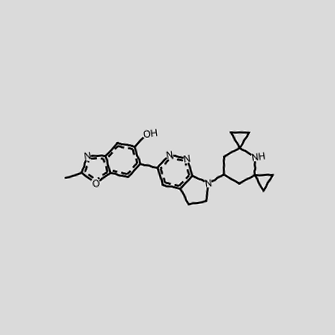 Cc1nc2cc(O)c(-c3cc4c(nn3)N(C3CC5(CC5)NC5(CC5)C3)CC4)cc2o1